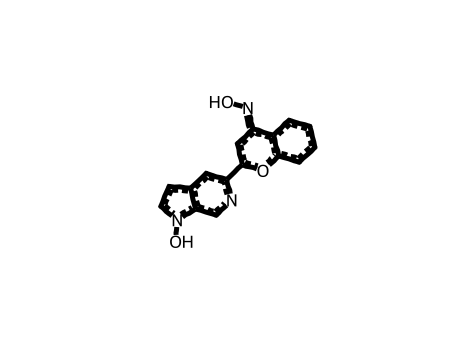 ON=c1cc(-c2cc3ccn(O)c3cn2)oc2ccccc12